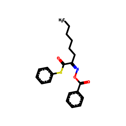 CCCCCCC(=NOC(=O)c1ccccc1)C(=O)Sc1ccccc1